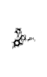 BC[C@H]1OC[C@](Cn2cncn2)(c2ccc(F)cc2F)O1